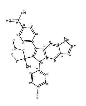 CCC(O)(COC)c1c(-c2ccc(C(=O)O)cc2)c2cc3[nH]ncc3cc2n1-c1ccc(F)cc1